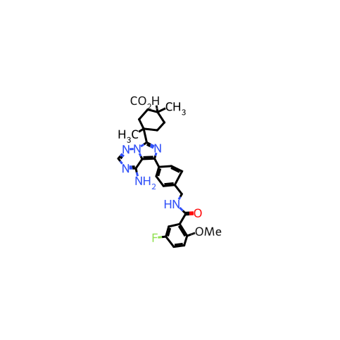 COc1ccc(F)cc1C(=O)NCc1ccc(-c2nc(C3(C)CCC(C)(C(=O)O)CC3)n3ncnc(N)c23)cc1